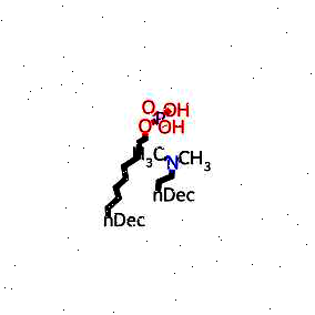 CCCCCCCCCCCCCCCCCCOP(=O)(O)O.CCCCCCCCCCCCN(C)C